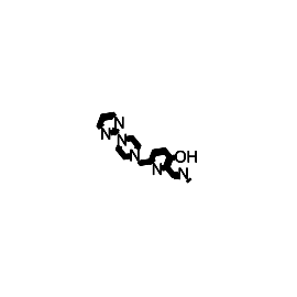 C/N=C/c1nc(CN2CCN(c3ncccn3)CC2)ccc1O